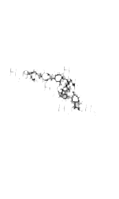 COc1cc(N2CCC(N3CCN(C)CC3)CC2)ccc1Nc1cc(N2OCC[C@@H]2c2cccc(N(C)C)c2)ncn1